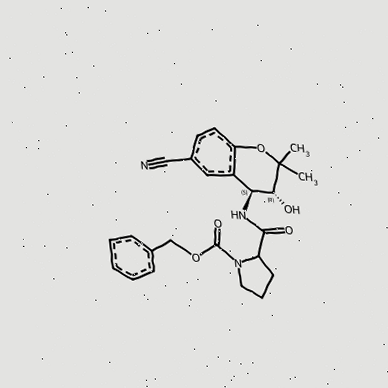 CC1(C)Oc2ccc(C#N)cc2[C@H](NC(=O)C2CCCN2C(=O)OCc2ccccc2)[C@H]1O